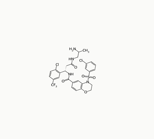 CC(N)CNC(=O)C[C@H](NC(=O)c1ccc2c(c1)N(S(=O)(=O)c1cccc(Cl)c1)CCO2)c1cc(C(F)(F)F)ccc1Cl